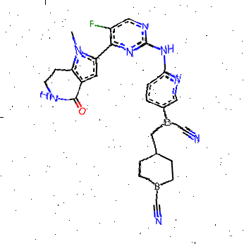 Cn1c(-c2nc(Nc3ccc(B(C#N)CC4CCB(C#N)CC4)cn3)ncc2F)cc2c1CCNC2=O